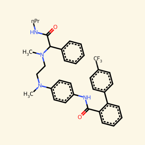 CCCNC(=O)C(c1ccccc1)N(C)CCN(C)c1ccc(NC(=O)c2ccccc2-c2ccc(C(F)(F)F)cc2)cc1